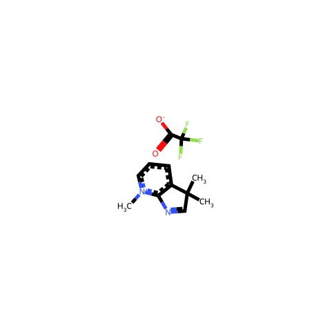 C[n+]1cccc2c1N=CC2(C)C.O=C([O-])C(F)(F)F